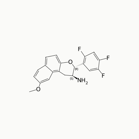 COc1ccc2ccc3c(c2c1)C[C@H](N)[C@@H](c1cc(F)c(F)cc1F)O3